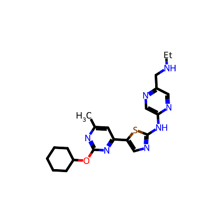 CCNCc1cnc(Nc2ncc(-c3cc(C)nc(OC4CCCCC4)n3)s2)cn1